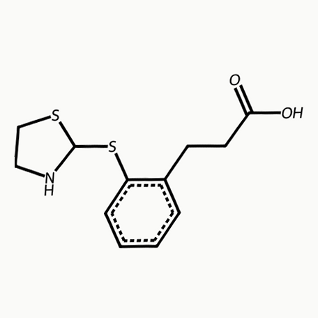 O=C(O)CCc1ccccc1SC1NCCS1